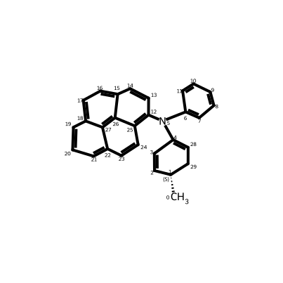 C[C@@H]1C=CC(N(c2ccccc2)c2ccc3ccc4cccc5ccc2c3c45)=CC1